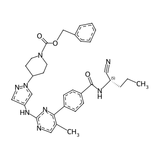 CCC[C@@H](C#N)NC(=O)c1ccc(-c2nc(Nc3cnn(C4CCN(C(=O)OCc5ccccc5)CC4)c3)ncc2C)cc1